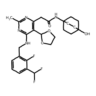 Cc1nc(CC(=O)NC23CCC(O)(CC2)CC3)c(C2OCCO2)c(NCc2cccc(C(F)F)c2F)n1